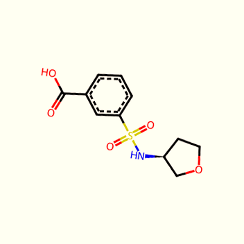 O=C(O)c1cccc(S(=O)(=O)N[C@H]2CCOC2)c1